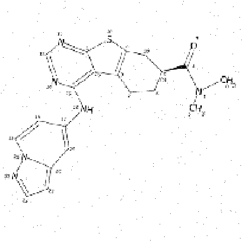 CN(C)C(=O)[C@H]1CCc2c(sc3ncnc(Nc4ccn5nccc5c4)c23)C1